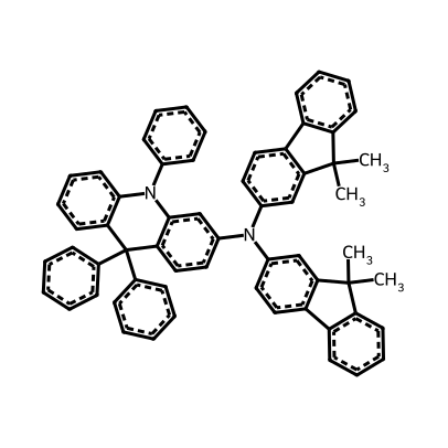 CC1(C)c2ccccc2-c2ccc(N(c3ccc4c(c3)N(c3ccccc3)c3ccccc3C4(c3ccccc3)c3ccccc3)c3ccc4c(c3)C(C)(C)c3ccccc3-4)cc21